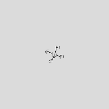 [F][Lu]([F])([F])[F]